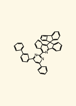 c1ccc(-c2cccc(-c3cc(-c4ccccc4)nc(-c4nc5c(c6ccccc46)C4(c6ccccc6-c6ccccc64)c4ccccc4-5)n3)c2)cc1